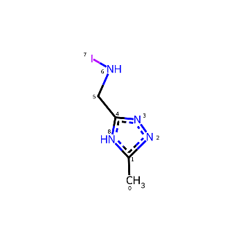 Cc1nnc(CNI)[nH]1